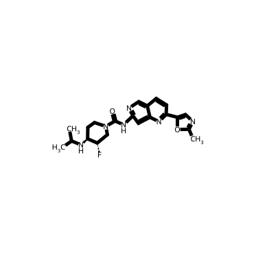 Cc1ncc(-c2ccc3cnc(NC(=O)N4CC[C@H](NC(C)C)[C@@H](F)C4)cc3n2)o1